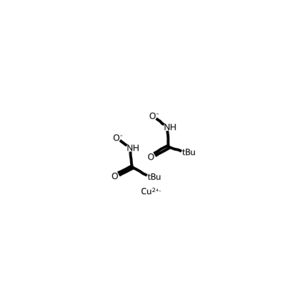 CC(C)(C)C(=O)N[O-].CC(C)(C)C(=O)N[O-].[Cu+2]